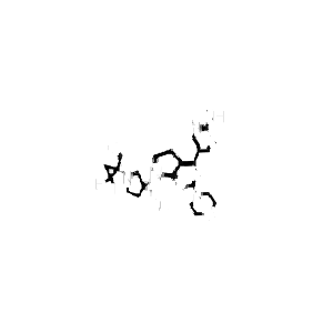 C[C@]1(N2CCc3c(-c4cnc(N)nc4)nc(N4CCOCC4)nc32)CCN([C@]2(C=O)CC2(F)F)C1